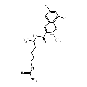 N=C(N)NCCCCC(NC(=O)C1=Cc2cc(Cl)cc(Cl)c2O[C@@H]1C(F)(F)F)C(=O)O